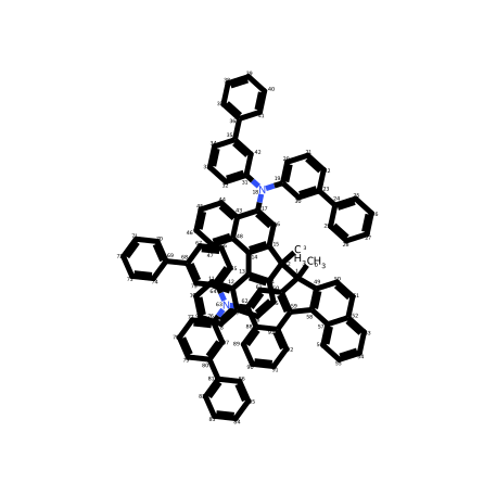 CC1(C2(C)c3ccc4ccccc4c3-c3c2cc(N(c2cccc(-c4ccccc4)c2)c2cccc(-c4ccccc4)c2)c2ccccc32)c2ccc3ccccc3c2-c2c1cc(N(c1cccc(-c3ccccc3)c1)c1cccc(-c3ccccc3)c1)c1ccccc21